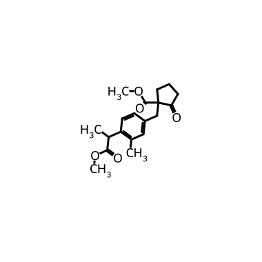 COC(=O)C(C)c1ccc(CC2(C(=O)OC)CCCC2=O)cc1C